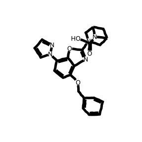 O=C(O)N1C2CC1CN(c1nc3c(OCc4ccccc4)ccc(-n4cccn4)c3o1)C2